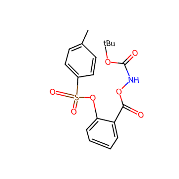 Cc1ccc(S(=O)(=O)Oc2ccccc2C(=O)ONC(=O)OC(C)(C)C)cc1